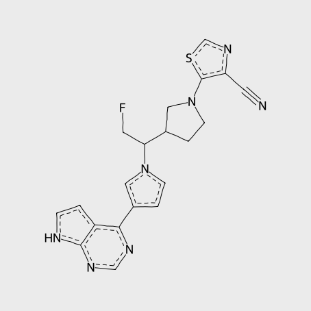 N#Cc1ncsc1N1CCC(C(CF)n2ccc(-c3ncnc4[nH]ccc34)c2)C1